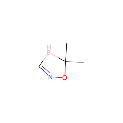 CC1(C)BC=NO1